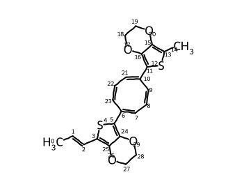 C/C=C/c1sc(C2=C/C=C\C(c3sc(C)c4c3OCCO4)=C/C=C\2)c2c1OCCO2